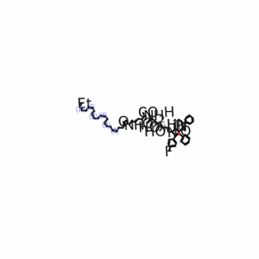 CC/C=C\C/C=C\C/C=C\C/C=C\C/C=C\C/C=C\CCC(=O)NCCCCC(NC(=O)C[C@H](O)C[C@H](O)CCn1c(-c2ccc(F)cc2)c(-c2ccccc2)c(C(=O)Nc2ccccc2)c1C(C)C)C(=O)O